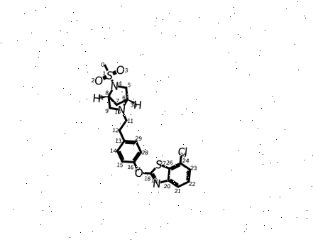 CS(=O)(=O)N1C[C@H]2C[C@@H]1CN2CCc1ccc(Oc2nc3cccc(Cl)c3s2)cc1